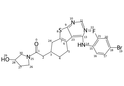 O=C(CC1CCc2c(sc3ncnc(Nc4ccc(Br)cc4F)c23)C1)N1CCC(O)C1